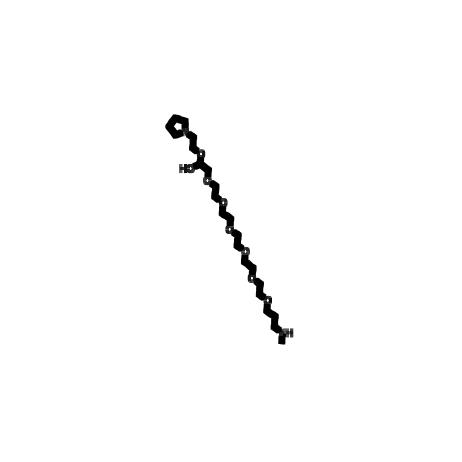 CNCCCOCCOCCOCCOCCOCCOCC(O)OCCN1CCCC1